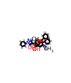 Cc1nn(-c2ccccc2)c(O)c1C1C(O)C(/C=C2/N(C)c3ccccc3C2(Cc2ccccc2)c2ccccc2)C1O